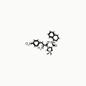 C[Si]1(C)C[C@@H](C(=O)N[C@@H]2CCCc3ccccc32)N(C(=O)[C@@H](N)Cc2ccc([N+](=O)[O-])cc2)C1